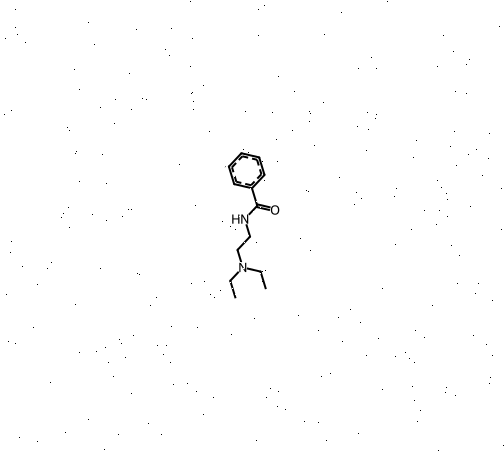 CCN(CC)CCNC(=O)c1c[c]ccc1